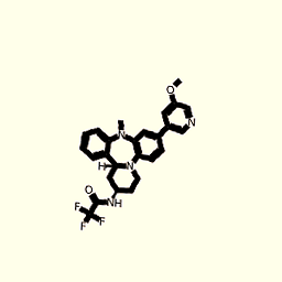 COc1cncc(-c2ccc3c(c2)N(C)c2ccccc2[C@H]2C[C@H](NC(=O)C(F)(F)F)CCN32)c1